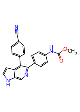 COC(=O)Nc1ccc(-c2ncc3[nH]ccc3c2-c2ccc(C#N)cc2)cc1